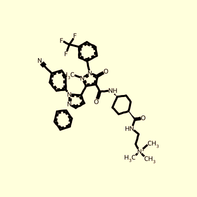 Cn1c(-c2ccnn2-c2ccc(C#N)cc2)c(C(=O)N[C@H]2CC[C@H](C(=O)NCC[N+](C)(C)C)CC2)c(=O)n1-c1cccc(C(F)(F)F)c1.c1ccccc1